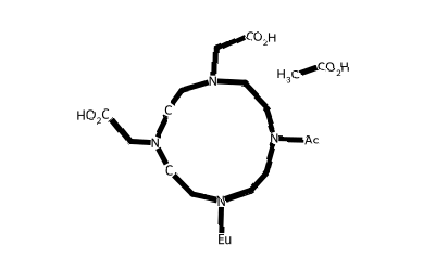 CC(=O)N1CC[N]([Eu])CCN(CC(=O)O)CCN(CC(=O)O)CC1.CC(=O)O